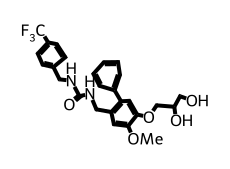 COc1cc(CNC(=O)NCc2ccc(C(F)(F)F)cc2)c(-c2ccccc2)cc1OCC(O)CO